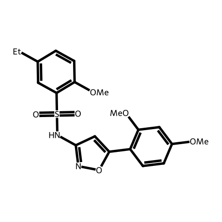 CCc1ccc(OC)c(S(=O)(=O)Nc2cc(-c3ccc(OC)cc3OC)on2)c1